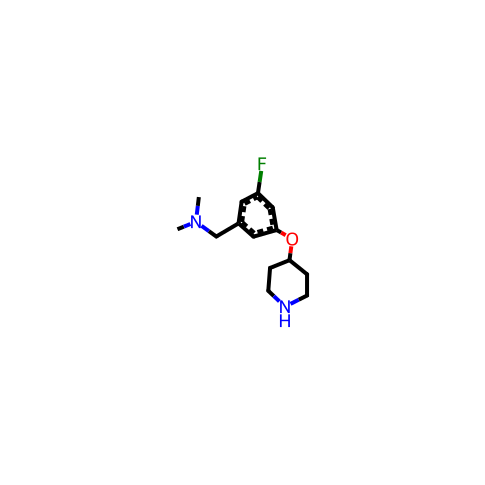 CN(C)Cc1cc(F)cc(OC2CCNCC2)c1